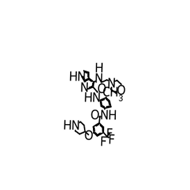 Cc1ccc(NC(=O)c2cc(OC3CCNCC3)cc(C(F)(F)F)c2)cc1NC(=O)c1cnc2[nH]ccc2c1NCCN1CCOCC1